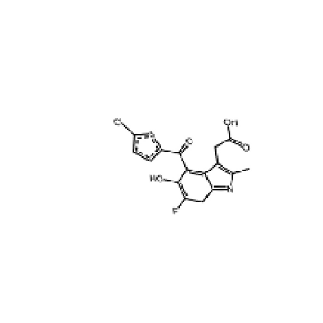 CC1=C(CC(=O)O)C2=C(C(=O)c3ccc(Cl)s3)C(O)=C(F)CC2=N1